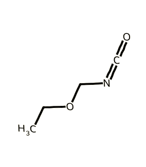 CCOCN=C=O